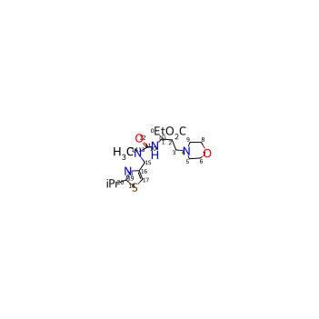 CCOC(=O)[C@H](CCN1CCOCC1)NC(=O)N(C)Cc1csc(C(C)C)n1